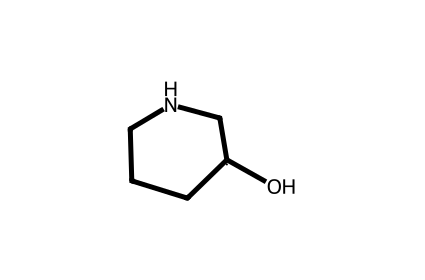 O[C]1CCCNC1